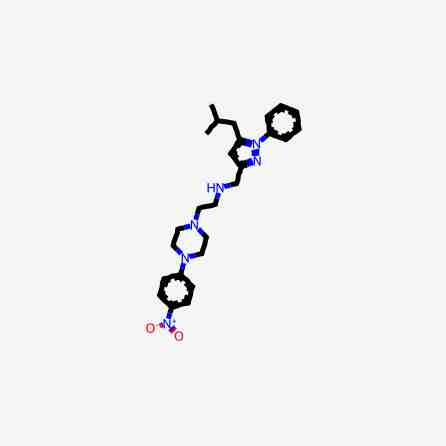 CC(C)Cc1cc(CNCCN2CCN(c3ccc([N+](=O)[O-])cc3)CC2)nn1-c1ccccc1